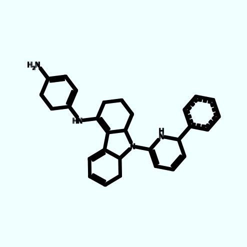 NC1=CC=C(NC2=C3C4=CC=CCC4N(C4=CC=CC(c5ccccc5)N4)C3CCC2)CC1